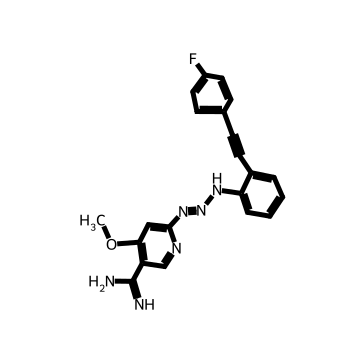 COc1cc(/N=N/Nc2ccccc2C#Cc2ccc(F)cc2)ncc1C(=N)N